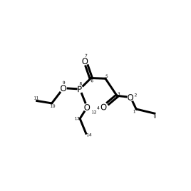 CCOC(=O)CC(=O)P(OCC)OCC